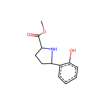 COC(=O)C1CCC(c2ccccc2O)N1